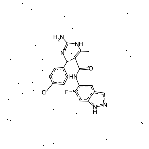 CC1=C(C(=O)Nc2cc3cn[nH]c3cc2F)C(c2ccc(Cl)cc2)N=C(N)N1